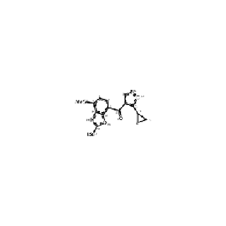 CSc1ccc(C(=O)c2cnoc2C2CC2)c2oc(C(C)(C)C)nc12